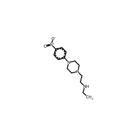 CCNCCN1CCN(c2ccc([N+](=O)[O-])cc2)CC1